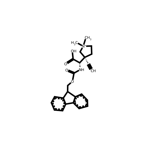 C#C[C@@]1([C@H](NC(=O)OCC2c3ccccc3-c3ccccc32)C(=O)O)CC[N+](C)(C)C1